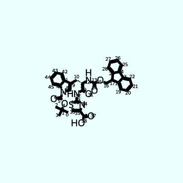 CC(C)(C)OC(=O)n1cc(C[C@H](NC(=O)OCC2c3ccccc3-c3ccccc32)C(=O)Nc2nc(C(=O)O)cs2)c2ccccc21